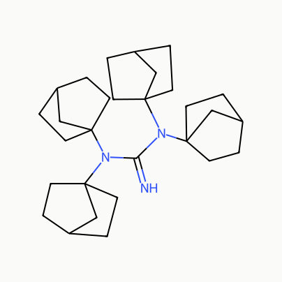 N=C(N(C12CCC(CC1)C2)C12CCC(CC1)C2)N(C12CCC(CC1)C2)C12CCC(CC1)C2